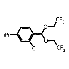 CC(C)c1ccc(C(OCC(F)(F)F)OCC(F)(F)F)c(Cl)c1